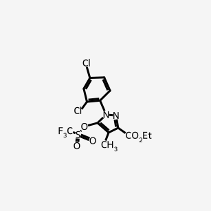 CCOC(=O)c1nn(-c2ccc(Cl)cc2Cl)c(OS(=O)(=O)C(F)(F)F)c1C